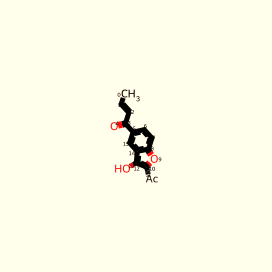 C/C=C/C(=O)c1ccc2oc(C(C)=O)c(O)c2c1